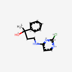 CC(O)(CCNc1ccnc(Cl)n1)c1ccccc1